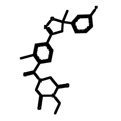 CCN1C(=O)CN(C(=O)c2ccc(C3=NOC(C)(c4cccc(F)c4)C3)cc2C)CC1=O